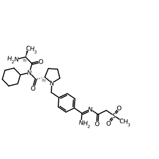 C[C@H](N)C(=O)N(C(=O)[C@@H]1CCCN1Cc1ccc(C(N)=NC(=O)CS(C)(=O)=O)cc1)C1CCCCC1